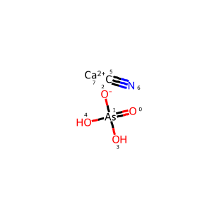 O=[As]([O-])(O)O.[C-]#N.[Ca+2]